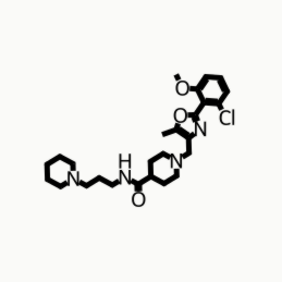 COc1cccc(Cl)c1-c1nc(CN2CCC(C(=O)NCCCN3CCCCC3)CC2)c(C)o1